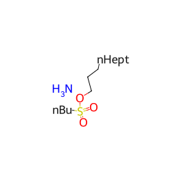 CCCCCCCCCCOS(=O)(=O)CCCC.N